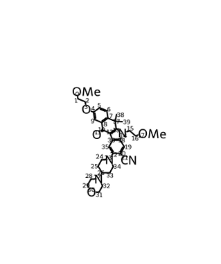 COCCOc1ccc2c(c1)C(=O)c1c(n(CCOC)c3cc(C#N)c(N4CCC(N5CCOCC5)CC4)cc13)C2(C)C